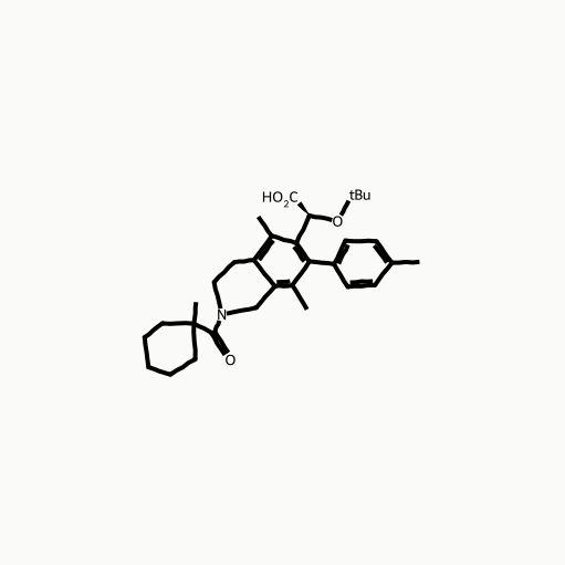 Cc1ccc(-c2c(C)c3c(c(C)c2[C@H](OC(C)(C)C)C(=O)O)CCN(C(=O)C2(C)CCCCC2)C3)cc1